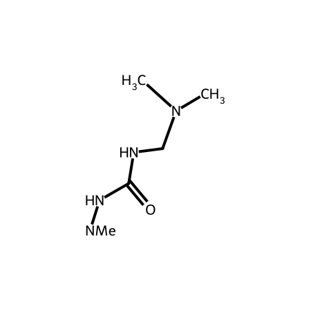 CNNC(=O)NCN(C)C